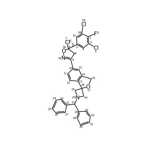 Fc1c(Cl)cc(C2(C(F)(F)F)CC(c3ccc4c(c3)COC43CN(C(c4ccccc4)c4ccccc4)C3)=NO2)cc1Cl